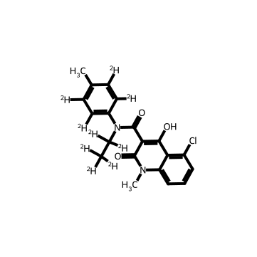 [2H]c1c([2H])c(N(C(=O)c2c(O)c3c(Cl)cccc3n(C)c2=O)C([2H])([2H])C([2H])([2H])[2H])c([2H])c([2H])c1C